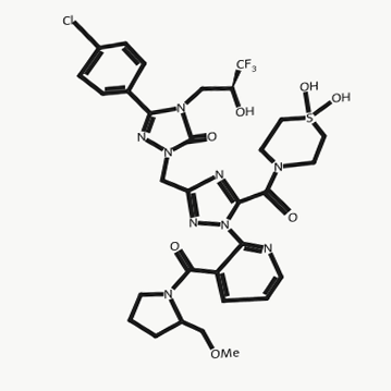 COCC1CCCN1C(=O)c1cccnc1-n1nc(Cn2nc(-c3ccc(Cl)cc3)n(C[C@H](O)C(F)(F)F)c2=O)nc1C(=O)N1CCS(O)(O)CC1